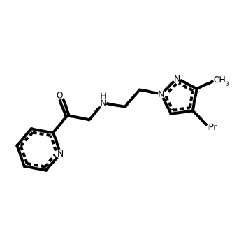 Cc1nn(CCNCC(=O)c2ccccn2)cc1C(C)C